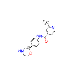 O=C(Nc1ccc([C@@H]2CNCCO2)cc1)c1ccnc(C(F)(F)F)c1